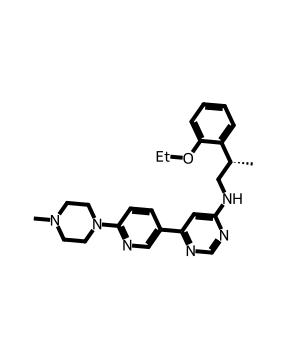 CCOc1ccccc1[C@H](C)CNc1cc(-c2ccc(N3CCN(C)CC3)nc2)ncn1